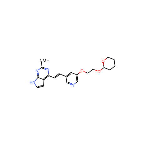 CNc1nc(C=Cc2cncc(OCCOC3CCCCO3)c2)c2cc[nH]c2n1